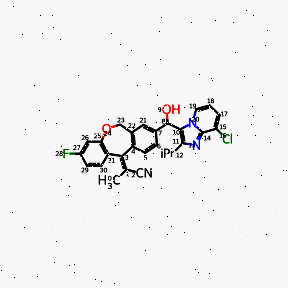 C/C(C#N)=C1/c2ccc(C(O)c3c(C(C)C)nc4c(Cl)cccn34)cc2COc2cc(F)ccc21